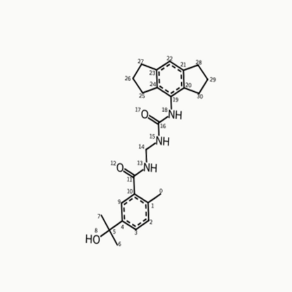 Cc1ccc(C(C)(C)O)cc1C(=O)NCNC(=O)Nc1c2c(cc3c1CCC3)CCC2